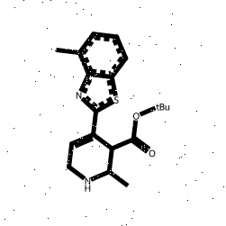 Cc1cccc2sc(C3=CCNC(C)C3C(=O)OC(C)(C)C)nc12